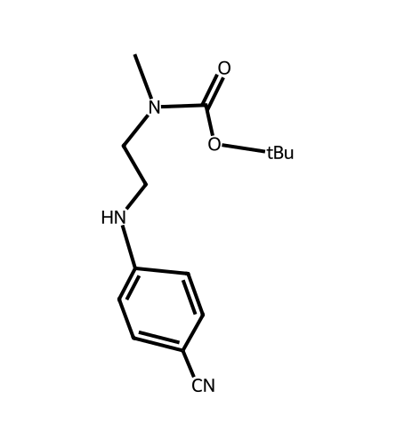 CN(CCNc1ccc(C#N)cc1)C(=O)OC(C)(C)C